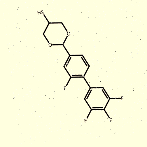 Fc1cc(C2OCC(S)CO2)ccc1-c1cc(F)c(F)c(F)c1